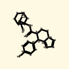 O=C(O[C@H]1CN2CCC1CC2)N1CCn2ccnc2C1c1ccc(F)cc1